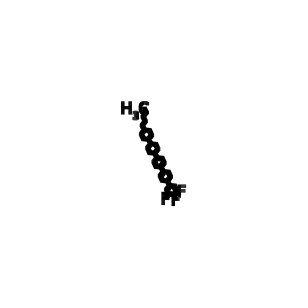 CCCCCC1CCC(C2CCC(c3ccc(C4=CCC(c5cc(F)c(F)c(F)c5)CC4)cc3)CC2)CC1